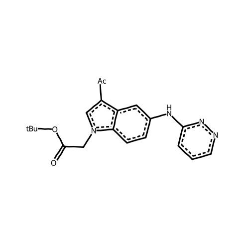 CC(=O)c1cn(CC(=O)OC(C)(C)C)c2ccc(Nc3cccnn3)cc12